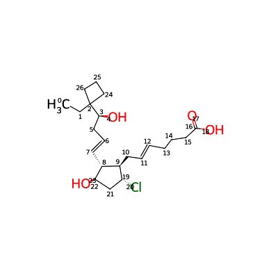 CCC1([C@@H](O)CC=C[C@@H]2[C@@H](CC=CCCCC(=O)O)[C@H](Cl)C[C@H]2O)CCC1